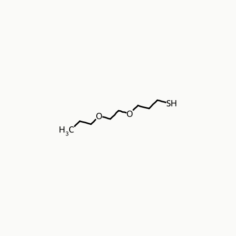 CCCOCCOCCCS